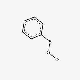 [O]OSc1[c]cccc1